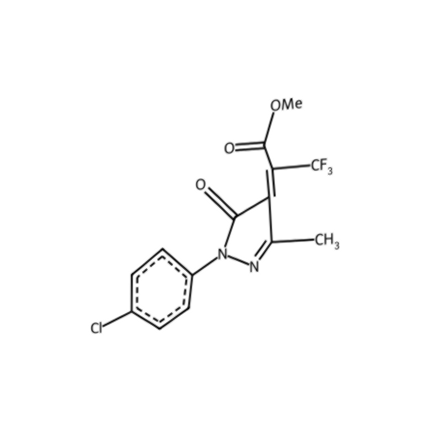 COC(=O)C(=C1C(=O)N(c2ccc(Cl)cc2)N=C1C)C(F)(F)F